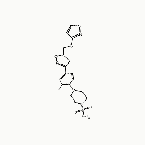 CS(=O)(=O)N1CCN(c2ccc(C3=NOC(COc4ccon4)C3)cc2F)CC1